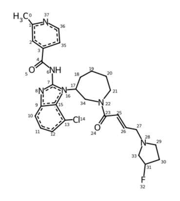 Cc1cc(C(=O)Nc2nc3cccc(Cl)c3n2C2CCCCN(C(=O)C=CCN3CCC(F)C3)C2)ccn1